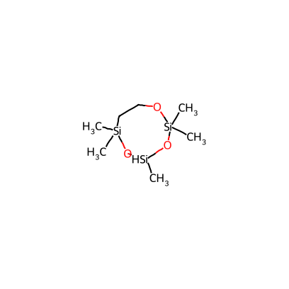 C[SiH]1O[Si](C)(C)CCO[Si](C)(C)O1